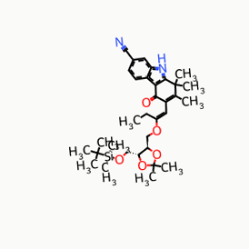 CC/C(=C\C1=C(C)C(C)(C)c2[nH]c3cc(C#N)ccc3c2C1=O)OC[C@H]1OC(C)(C)O[C@@H]1CO[Si](C)(C)C(C)(C)C